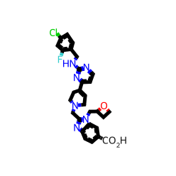 O=C(O)c1ccc2nc(CN3CC=C(c4ccnc(NCc5ccc(Cl)cc5F)n4)CC3)n(CC3CCO3)c2c1